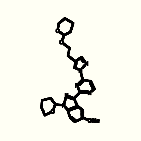 COc1ccc2c(c1)c(-c1nccc(-n3cc(CCOC4CCCCO4)cn3)n1)nn2C1CCCCO1